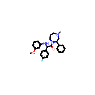 COc1cccc(NC(C(=O)N2CCCN(C)CC2c2ccccc2)c2ccc(F)cc2)c1